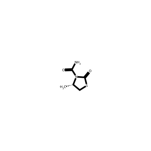 [CH2][C@H]1CSC(=O)N1C(N)=O